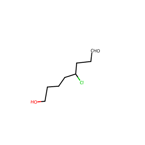 O=CCCC(Cl)CCCCO